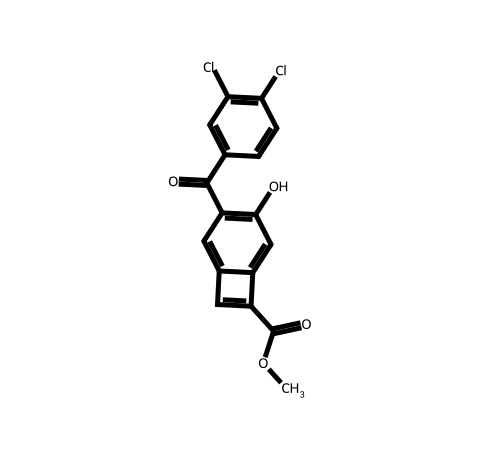 COC(=O)C1=Cc2cc(C(=O)c3ccc(Cl)c(Cl)c3)c(O)cc21